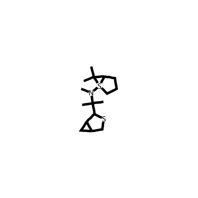 CN(C(C)(C)C1SCC2CC21)S12CCCC1C2(C)C